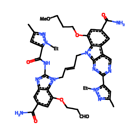 CCn1nc(C)cc1C(=O)Nc1nc2cc(C(N)=O)cc(OCCC=O)c2n1CC=CCn1c2nc(-c3cc(C)nn3CC)ncc2c2cc(C(N)=O)cc(OCCCOC)c21